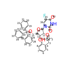 C[Si](C)(Cc1ccccc1)OC1C(O)[C@H](COC(c2ccccc2)(c2ccccc2)c2ccccc2)O[C@@H]1n1cc(F)c(=O)[nH]c1=O